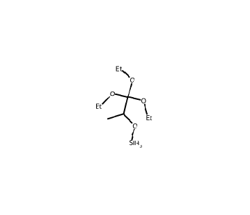 CCOC(OCC)(OCC)C(C)O[SiH3]